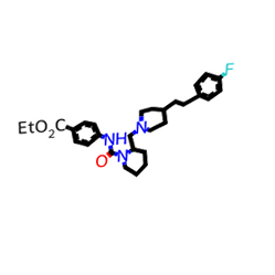 CCOC(=O)c1ccc(NC(=O)N2CCCCC2CN2CCC(CCc3ccc(F)cc3)CC2)cc1